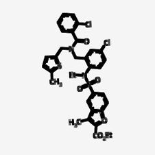 CCOC(=O)c1oc2ccc(S(=O)(=O)N(CC)c3ccc(Cl)cc3CN(Cc3ccc(C)s3)C(=O)c3ccccc3Cl)cc2c1C